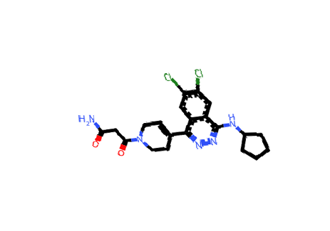 NC(=O)CC(=O)N1CC=C(c2nnc(NC3CCCC3)c3cc(Cl)c(Cl)cc23)CC1